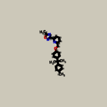 Cc1ccc(C(C)(C)c2ccc(OCc3cccc(-c4noc(C)n4)n3)cc2)cc1